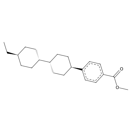 CC[C@H]1CC[C@H]([C@H]2CC[C@H](c3ccc(C(=O)OC)cc3)CC2)CC1